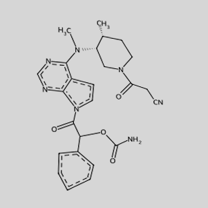 C[C@@H]1CCN(C(=O)CC#N)C[C@@H]1N(C)c1ncnc2c1ccn2C(=O)C(OC(N)=O)c1ccccc1